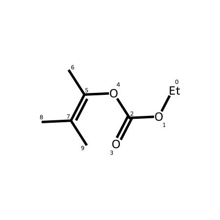 CCOC(=O)OC(C)=C(C)C